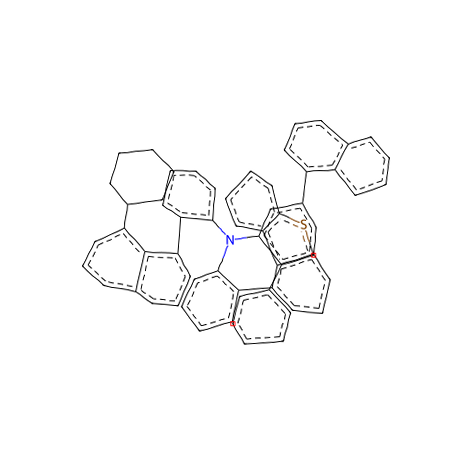 c1ccc(-c2ccc(-c3cccc4ccccc34)cc2N(c2ccccc2-c2cccc3cccc(C4CCCCC4)c23)c2ccccc2-c2cccc3sc4ccccc4c23)cc1